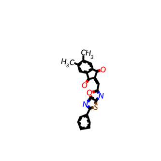 Cc1cc2c(cc1C)C(=O)C(=Cc1nc3sc(-c4ccccc4)nc3o1)C2=O